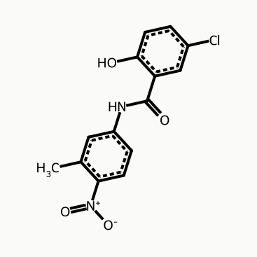 Cc1cc(NC(=O)c2cc(Cl)ccc2O)ccc1[N+](=O)[O-]